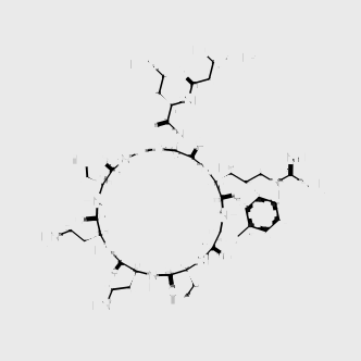 CCCCCCC[C@@H](O)CC(=O)N[C@H](CCN)C(=O)N[C@H]1CCNC(=O)[C@H](CC(C)C)NC(=O)[C@H](CCN)NC(=O)[C@H](CCN)NC(=O)[C@H](CC(C)C)NC(=O)[C@@H](Cc2ccccc2)NC(=O)[C@H](CCCNC(=N)N)NC1=O